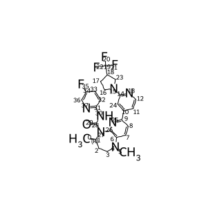 C[C@@H]1CCN(C)c2ccc(-c3ccnc(N4CCC(C(F)(F)F)C4)c3)nc2N1C(=O)Nc1ccc(F)cn1